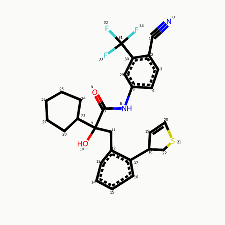 N#Cc1ccc(NC(=O)C(O)(Cc2ccccc2C2C=CSC2)C2CCCCC2)cc1C(F)(F)F